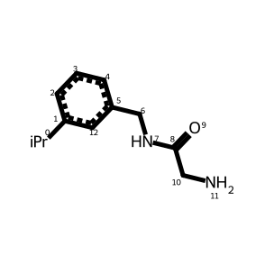 CC(C)c1cccc(CNC(=O)CN)c1